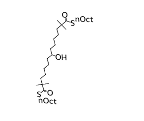 CCCCCCCCSC(=O)C(C)(C)CCCCCC(O)CCCCCC(C)(C)C(=O)SCCCCCCCC